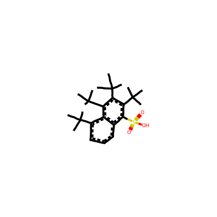 CC(C)(C)c1c(C(C)(C)C)c(C(C)(C)C)c2c(C(C)(C)C)cccc2c1S(=O)(=O)O